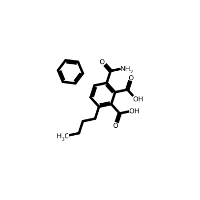 CCCCc1ccc(C(N)=O)c(C(=O)O)c1C(=O)O.c1ccccc1